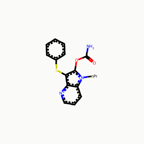 CCCn1c(OC(N)=O)c(Sc2ccccc2)c2ncccc21